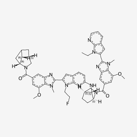 CCn1c(-c2nc3cc(C(=O)N4C[C@@H]5CC[C@H]4[C@H]5Nc4ccc5cc(-c6nc7cc(C(=O)N8C[C@H]9CC%10C[C@@H]8[C@H]%109)cc(OC)c7n6C)n(CCF)c5n4)cc(OC)c3n2C)cc2cccnc21